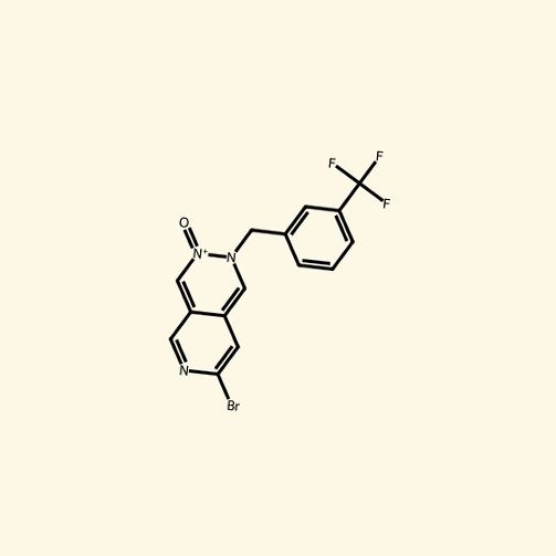 O=[n+]1cc2cnc(Br)cc2cn1Cc1cccc(C(F)(F)F)c1